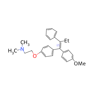 CC/C(=C(\c1ccc(OC)cc1)c1ccc(OCCN(C)C)cc1)c1ccccc1